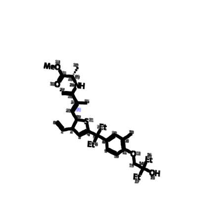 C=CC1C=C(C(CC)(CC)c2ccc(OCC(O)(CC)CC)c(C)c2)SC1/C=C(\C)C(=C)N[C@@H](C)C(=O)OC